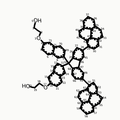 OCCOc1ccc2cc(C3(c4ccc5cc(OCCO)ccc5c4)c4ccc(-c5ccc6ccc7cccc8ccc5c6c78)cc4-c4cc(-c5ccc6ccc7cccc8ccc5c6c78)ccc43)ccc2c1